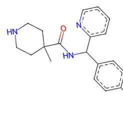 CC1(C(=O)NC(c2ccc(I)cc2)c2ccccn2)CCNCC1